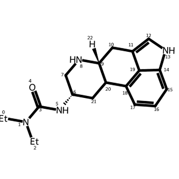 CCN(CC)C(=O)N[C@@H]1CN[C@@H]2Cc3c[nH]c4cccc(c34)C2C1